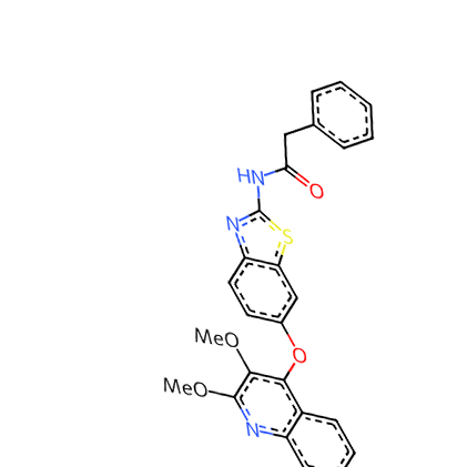 COc1nc2ccccc2c(Oc2ccc3nc(NC(=O)Cc4ccccc4)sc3c2)c1OC